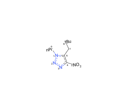 CCCn1nnc([N+](=O)[O-])c1CC(C)(C)C